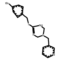 CC(C)(C)c1ccc(CSC2=NCN(Cc3cccnc3)CN2)cc1